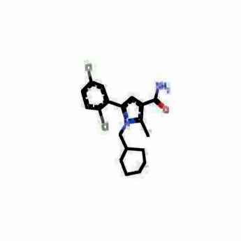 Cc1c(C(N)=O)cc(-c2cc(Cl)ccc2Cl)n1CC1CCCCC1